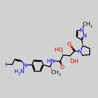 C[C@@H](NC(=O)[C@H](O)[C@@H](O)C(=O)N1CCC[C@@H]1c1ccn(C)n1)c1ccc(N(N)/C=C\CI)cc1